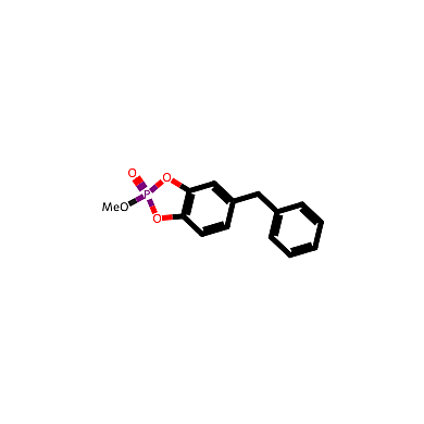 COP1(=O)Oc2ccc(Cc3ccccc3)cc2O1